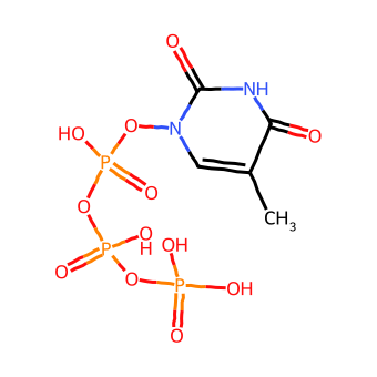 Cc1cn(OP(=O)(O)OP(=O)(O)OP(=O)(O)O)c(=O)[nH]c1=O